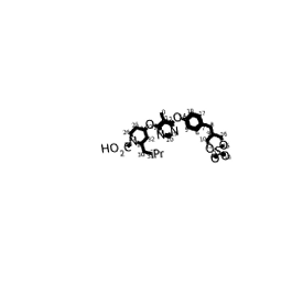 Cc1c(Oc2ccc(CC3COS(=O)(=O)OC3)cc2)ncnc1OC1CCN(C(=O)O)C(CC(C)C)C1